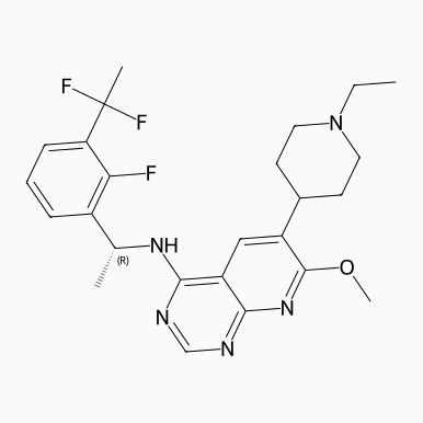 CCN1CCC(c2cc3c(N[C@H](C)c4cccc(C(C)(F)F)c4F)ncnc3nc2OC)CC1